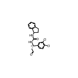 O=CC[C@H](NC(=O)NC1CCc2ccccc21)c1ccc(Cl)c(Cl)c1